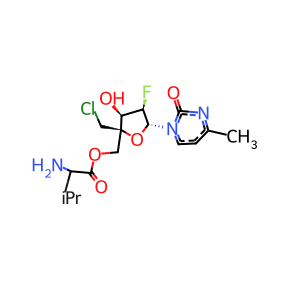 Cc1ccn([C@@H]2O[C@](CCl)(COC(=O)C(N)C(C)C)[C@@H](O)[C@H]2F)c(=O)n1